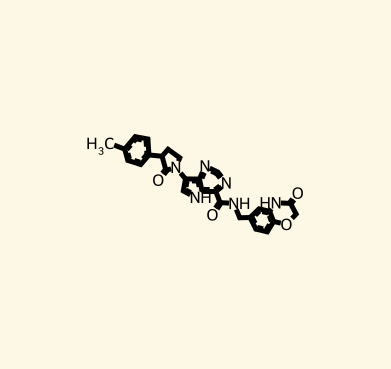 Cc1ccc(C2CCN(c3c[nH]c4c(C(=O)NCc5ccc6c(c5)NC(=O)CO6)ncnc34)C2=O)cc1